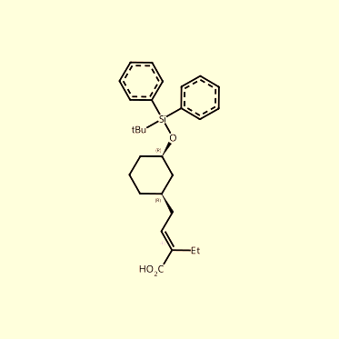 CC/C(=C\C[C@H]1CCC[C@@H](O[Si](c2ccccc2)(c2ccccc2)C(C)(C)C)C1)C(=O)O